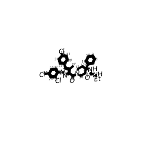 CCNC(=O)NC1(c2ccccc2)CCN(C(=O)c2nn(-c3ccc(Cl)cc3Cl)c(-c3ccc(Cl)cc3)c2C)CC1